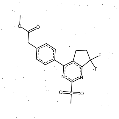 COC(=O)Cc1ccc(-c2nc(S(C)(=O)=O)nc3c2CCC3(F)F)cc1